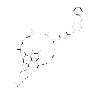 C/C1=C/C=C/C(C)CCC(O)C[C@H](OC(=O)CC(=O)NC2CCN(Cc3ccccc3)CC2)CC/C=C/OC2(C)Oc3c(C)c(O)c4c(c3C2=O)C2=NC3(CCN(CC(C)C)CC3)NC2=C(NC1=O)C4=O